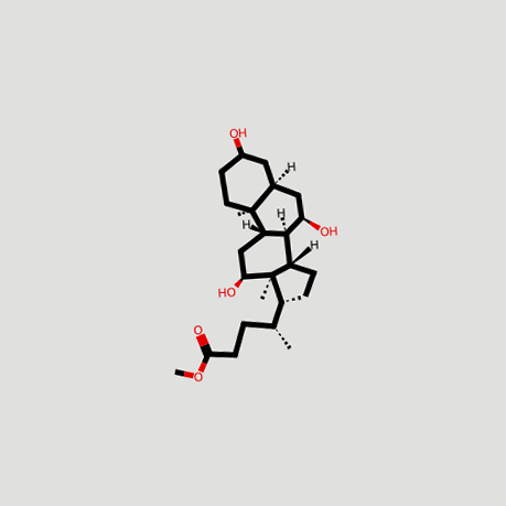 COC(=O)CC[C@@H](C)[C@H]1CC[C@H]2[C@@H]3[C@H](O)C[C@@H]4CC(O)CC[C@]4(C)[C@H]3C[C@H](O)[C@]12C